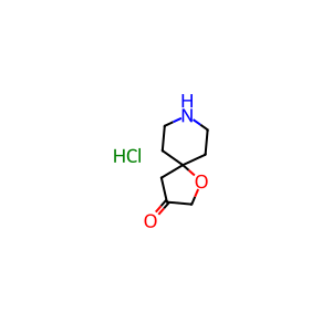 Cl.O=C1COC2(CCNCC2)C1